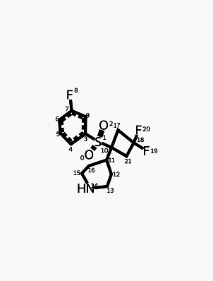 O=S(=O)(c1cccc(F)c1)C1(C2CCNCC2)CC(F)(F)C1